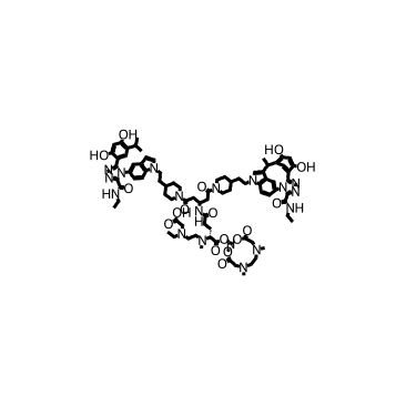 CCNC(=O)c1nnc(-c2cc(C(C)C)c(O)cc2O)n1-c1ccc2c(ccn2CCC2CCN(C(=O)CC(CC(=O)N3CCC(CCn4cc5c6cc(ccc64)-n4c(C(=O)NCC)nnc4-c4cc(c(O)cc4O)C5C)CC3)NC(=O)CC[C@H](C(=O)ON3OC(=O)CN(C)CCN(C)CC(=O)O3)N(C)CCN(CC)CC(=O)O)CC2)c1